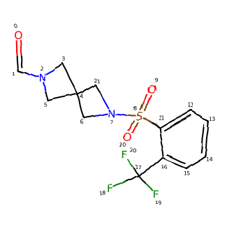 O=CN1CC2(C1)CN(S(=O)(=O)c1ccccc1C(F)(F)F)C2